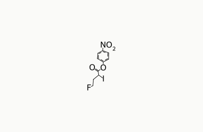 O=C(Oc1ccc([N+](=O)[O-])cc1)C(I)CCF